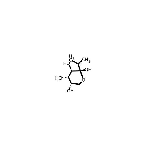 CC(C)[C@]1(O)OC[C@H](O)[C@H](O)[C@H]1O